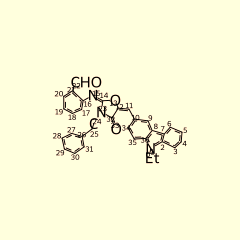 CCn1c2ccccc2c2cc(/C=C3/O/C(=N/c4ccccc4C=O)N(CCc4ccccc4)C3=O)ccc21